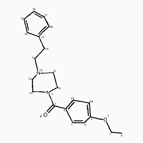 CCOc1ccc(C(=O)N2CCN(CCc3ccccc3)CC2)cc1